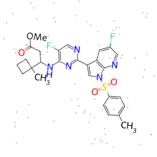 COC(=O)CC(Nc1nc(-c2cn(S(=O)(=O)c3ccc(C)cc3)c3ncc(F)cc23)ncc1F)C1(C)CCC1